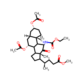 CCOC(=O)N[C@@H]1C(=O)[C@@]2(C)C(CCC2[C@H](C)CCC(=O)OC)C2C1[C@@]1(C)CC[C@@H](OC(C)=O)C[C@H]1C[C@H]2OC(C)=O